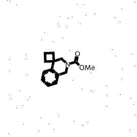 COC(=O)N1Cc2ccccc2C2(CCC2)C1